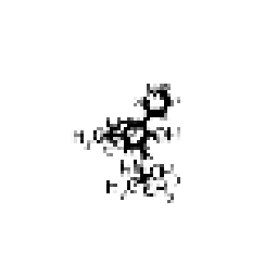 CC(C)(C)NCc1cc(C(C)(C)C)cc(-c2cccnc2)c1O